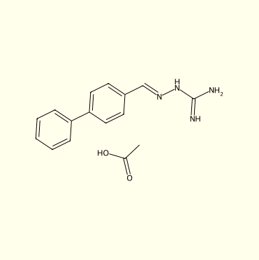 CC(=O)O.N=C(N)NN=Cc1ccc(-c2ccccc2)cc1